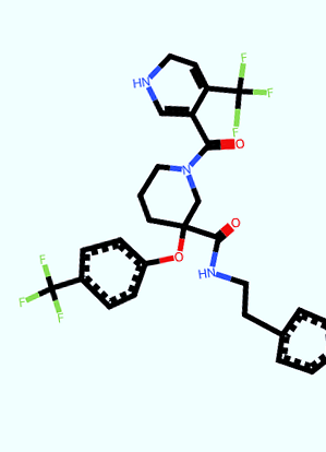 O=C(C1=CNCC=C1C(F)(F)F)N1CCCC(Oc2ccc(C(F)(F)F)cc2)(C(=O)NCCc2ccccc2)C1